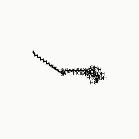 C#CCCCCCC/C=C/CC/C=C/C/C=C/CCc1ccc(C/C=C/CCCCC(O)CC(O)CC(=O)O[C@H]2C(O)O[C@H](O[C@]3(CO)O[C@H](CO)C(O)[C@H]3O)C(O)[C@H]2O)o1